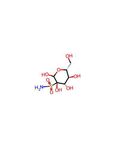 NS(=O)(=O)[C@]1(O)C(O)O[C@H](CO)[C@@H](O)[C@@H]1O